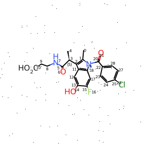 Cc1c([C@H](C)C(=O)NCCC(=O)O)c2cc(O)c(F)cc2n1C(=O)c1ccc(Cl)cc1